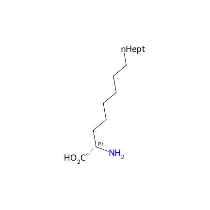 CCCCCCCCCCCCC[C@H](N)C(=O)O